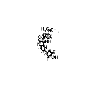 CN(C)[C@H]1CC[C@H](Nc2c(S(C)(=O)=O)cnc3ccc(-c4cc(F)c(O)c(Cl)c4)nc23)CC1